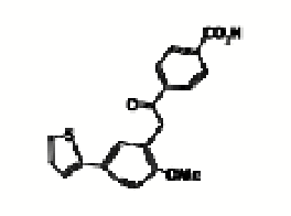 COc1ccc(-c2cccs2)cc1CC(=O)c1ccc(C(=O)O)cc1